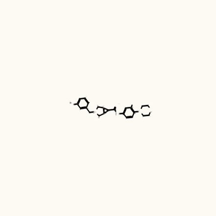 O=C(Nc1ccc(N2CCOCC2)c(F)c1)C1C2CN(Cc3cccc(OC(F)(F)F)c3)CC21